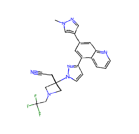 Cn1cc(-c2cc(-c3ccn(C4(CC#N)CN(CC(F)(F)F)C4)n3)c3cccnc3c2)cn1